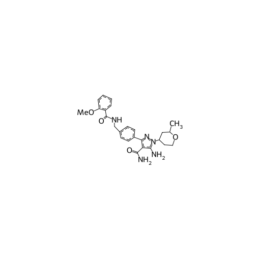 COc1ccccc1C(=O)NCc1ccc(-c2nn(C3CCOC(C)C3)c(N)c2C(N)=O)cc1